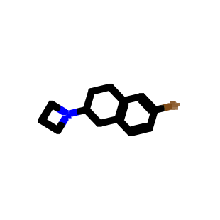 Brc1ccc2c(c1)CCC(N1CCC1)C2